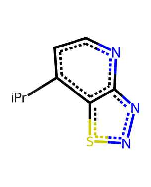 CC(C)c1ccnc2nnsc12